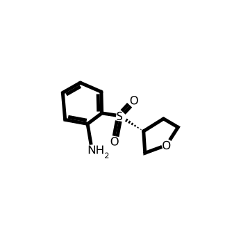 Nc1ccccc1S(=O)(=O)[C@@H]1CCOC1